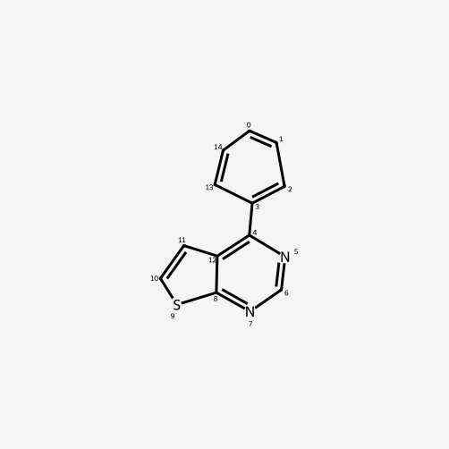 c1ccc(-c2ncnc3sccc23)cc1